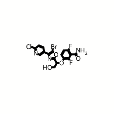 NC(=O)c1c(F)ccc(OC(CO)c2nc(-c3ccc(Cl)nc3)c(Br)o2)c1F